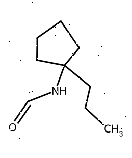 CCCC1(NC=O)CCCC1